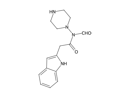 O=[C]N(C(=O)Cc1cc2ccccc2[nH]1)N1CCNCC1